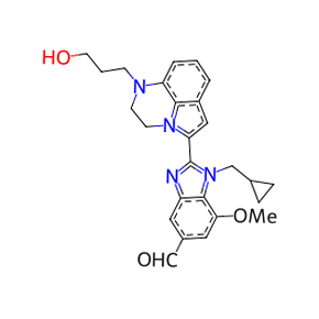 COc1cc(C=O)cc2nc(-c3cc4cccc5c4n3CCN5CCCO)n(CC3CC3)c12